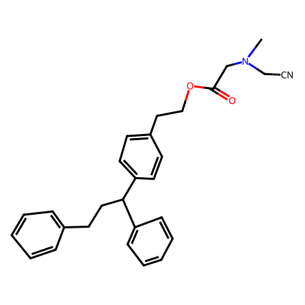 CN(CC#N)CC(=O)OCCc1ccc(C(CCc2ccccc2)c2ccccc2)cc1